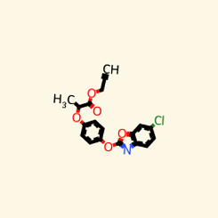 C#CCOC(=O)C(C)Oc1ccc(Oc2nc3ccc(Cl)cc3o2)cc1